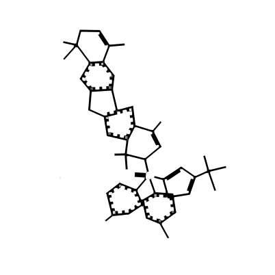 Cl.Cl.[CH2]=[Zr]([C]1=CC(C(C)(C)C)=CC1)([c]1ccc(F)cc1)([c]1ccc(F)cc1)[CH]1C=C(C)c2cc3c(cc2C1(C)C)Cc1cc2c(cc1-3)C(C)=CCC2(C)C